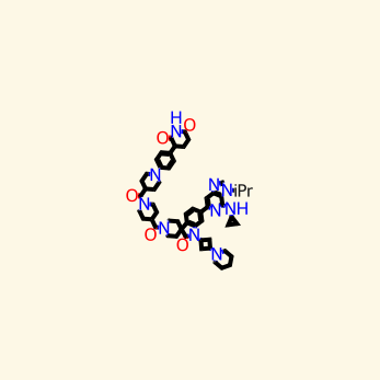 CC(C)n1cnc2cc(-c3ccc4c(c3)N(C3CC(N5CCCCC5)C3)C(=O)C43CCN(C(=O)C4CCN(C(=O)C5CCN(c6ccc(C7CCC(=O)NC7=O)cc6)CC5)CC4)CC3)nc(NC3CC3)c21